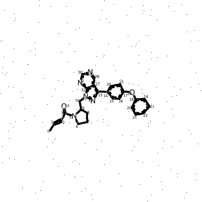 CC#CC(=O)N1CCCC1Cn1nc(-c2ccc(Oc3ccccc3)cc2)c2cncnc21